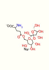 N[C@@H](CCC(=O)OC[C@H]1O[C@H](O[C@]2(CO)O[C@H](CO)[C@@H](O)[C@@H]2O)[C@H](O)[C@@H](O)[C@@H]1O)C(=O)[O-].[Na+]